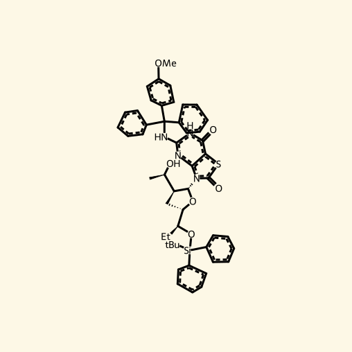 CC[C@H](O[Si](c1ccccc1)(c1ccccc1)C(C)(C)C)[C@@H]1C[C@@H]([C@@H](C)O)[C@H](n2c(=O)sc3c(=O)[nH]c(NC(c4ccccc4)(c4ccccc4)c4ccc(OC)cc4)nc32)O1